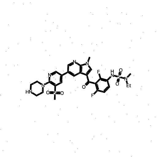 CCN(C)S(=O)(=O)Nc1ccc(F)c(C(=O)c2cn(C)c3ncc(-c4cnc(N5CCNCC5)c(S(C)(=O)=O)c4)cc23)c1F